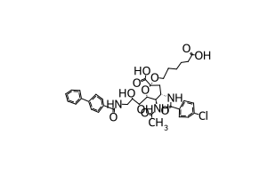 CC(=O)N[C@H]1[C@H]([C@H](O)[C@H](O)CNC(=O)c2ccc(-c3ccccc3)cc2)O[C@@](OCCCCCC(=O)O)(C(=O)O)C[C@@H]1NC(=O)c1ccc(Cl)cc1